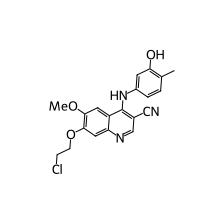 COc1cc2c(Nc3ccc(C)c(O)c3)c(C#N)cnc2cc1OCCCl